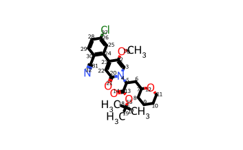 COc1cn(C(CC2CCCCO2)C(=O)OC(C)(C)C)c(=O)cc1-c1cc(Cl)ccc1C#N